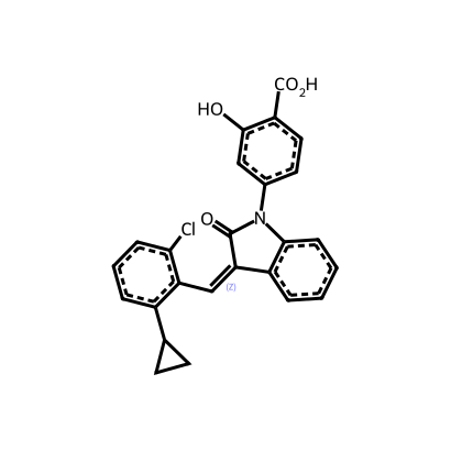 O=C(O)c1ccc(N2C(=O)/C(=C\c3c(Cl)cccc3C3CC3)c3ccccc32)cc1O